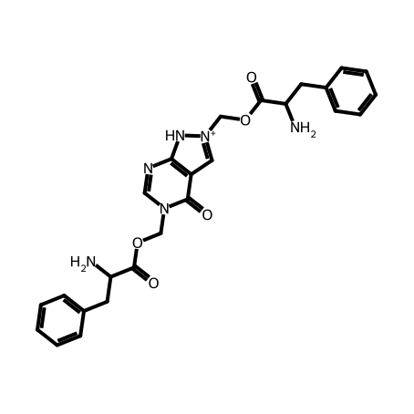 NC(Cc1ccccc1)C(=O)OCn1cnc2[nH][n+](COC(=O)C(N)Cc3ccccc3)cc2c1=O